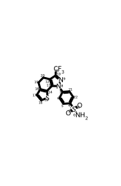 NS(=O)(=O)c1ccc(-n2nc(C(F)(F)F)c3c2-c2sccc2CC3)cc1